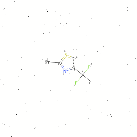 CC(C)c1nc(C(C)(F)F)cs1